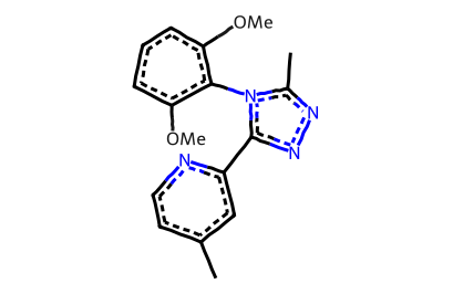 COc1cccc(OC)c1-n1c(C)nnc1-c1cc(C)ccn1